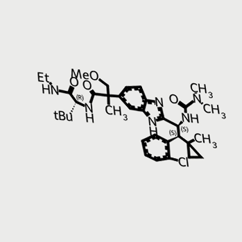 CCNC(=O)[C@H](NC(=O)C(C)(COC)c1ccc2nc([C@@H](NC(=O)N(C)C)[C@H](c3ccccc3Cl)C3(C)CC3)[nH]c2c1)C(C)(C)C